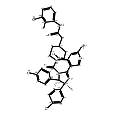 CCOc1cc(C(C)(C)C)ncc1C1=N[C@@](C)(c2ccc(Cl)cc2)[C@@](C)(c2ccc(Cl)cc2)N1C(=O)N1CCC(CC(=O)Nc2cccc(Cl)c2C)CC1